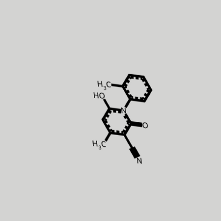 Cc1ccccc1-n1c(O)cc(C)c(C#N)c1=O